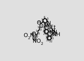 CCOc1nc2cccc(C(=O)OCCCCC(CO[N+](=O)[O-])O[N+](=O)[O-])c2n1Cc1ccc(-c2ccccc2-c2nnn[nH]2)cc1